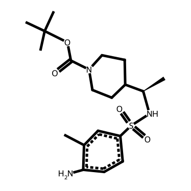 Cc1cc(S(=O)(=O)N[C@H](C)C2CCN(C(=O)OC(C)(C)C)CC2)ccc1N